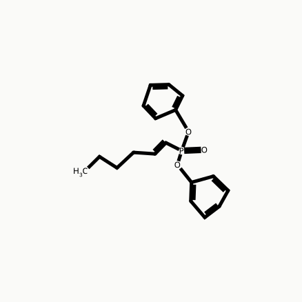 CCCCC=CP(=O)(Oc1ccccc1)Oc1ccccc1